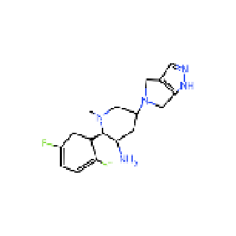 CN1CC(N2Cc3cn[nH]c3C2)CC(N)[C@H]1C1CC(F)=CC=C1F